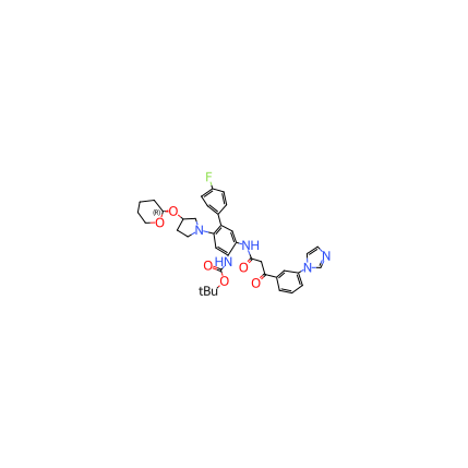 CC(C)(C)OC(=O)Nc1cc(N2CCC(O[C@@H]3CCCCO3)C2)c(-c2ccc(F)cc2)cc1NC(=O)CC(=O)c1cccc(-n2ccnc2)c1